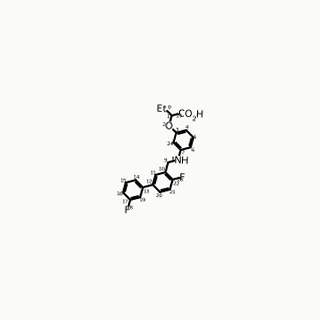 CCC(Oc1cccc(NCc2cc(-c3cccc(F)c3)ccc2F)c1)C(=O)O